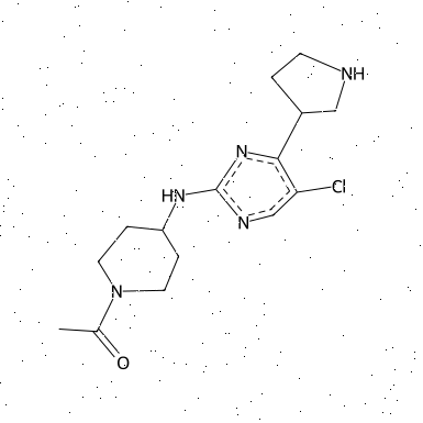 CC(=O)N1CCC(Nc2ncc(Cl)c(C3CCNC3)n2)CC1